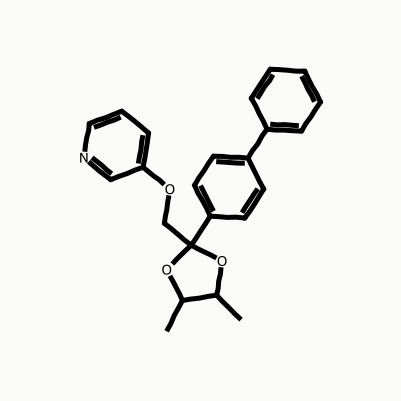 CC1OC(COc2cccnc2)(c2ccc(-c3ccccc3)cc2)OC1C